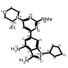 CC[C@@H]1COCCN1c1cc(-c2cc(N)c3c(N)nn(C4CCCC4)c3c2)nc(NC)n1